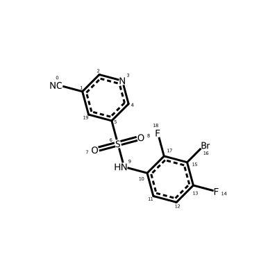 N#Cc1cncc(S(=O)(=O)Nc2ccc(F)c(Br)c2F)c1